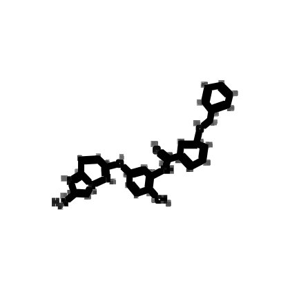 Cc1ccc(Oc2ccc3nc(N)cn3n2)cc1NC(=O)c1cccc(OCc2ccccc2)c1